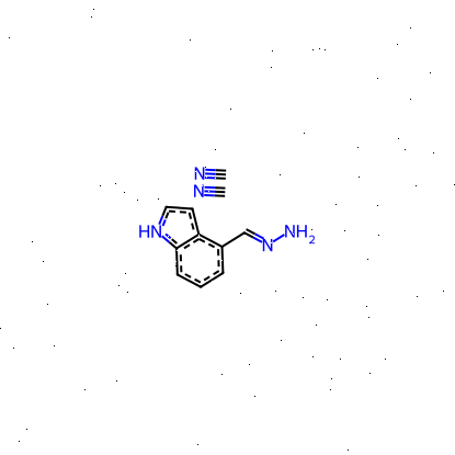 C#N.C#N.NN=Cc1cccc2[nH]ccc12